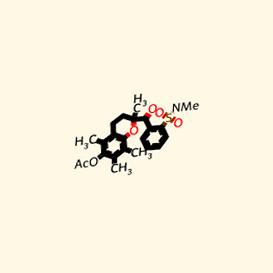 CNS(=O)(=O)c1ccccc1C(=O)C1(C)CCc2c(C)c(OC(C)=O)c(C)c(C)c2O1